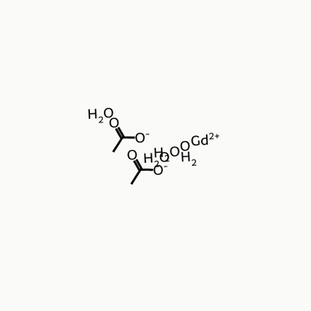 CC(=O)[O-].CC(=O)[O-].O.O.O.O.[Gd+2]